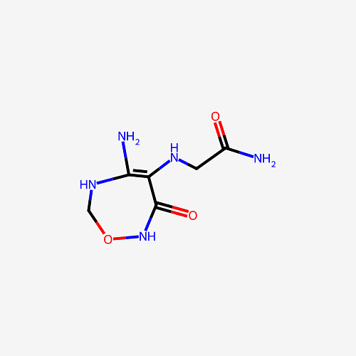 NC(=O)CNC1=C(N)NCONC1=O